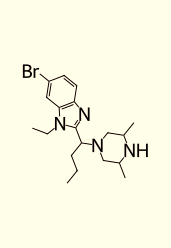 CCCC(c1nc2ccc(Br)cc2n1CC)N1CC(C)NC(C)C1